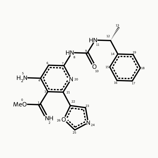 COC(=N)c1c(N)cc(NC(=O)N[C@H](C)c2ccccc2)nc1-c1cnco1